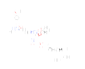 COc1ccc(COC(=O)NC(C)(C)CCCCCCCN(CCC(C)(C)NC(=O)OC(C)(C)C)C(=O)CCC(=O)OC2CCC3(C)C(=CCC4C3CCC3(C)C4CCC3[C@H](C)CCCC(C)C)C2)cc1